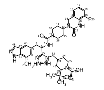 Cc1cc(CC(NC(=O)N2CCC(N3Cc4cccc(F)c4NC3=O)CC2)C2=NNNN2CC2CCN(C(=O)O)C(C(C)(C)C)C2)cc2cn[nH]c12